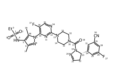 CCS(=O)(=O)Nc1c(C)nn(-c2nc(N3CCN(C(=O)N4N=CC[C@H]4c4cc(F)cc(C#N)c4)CC3)ncc2F)c1C